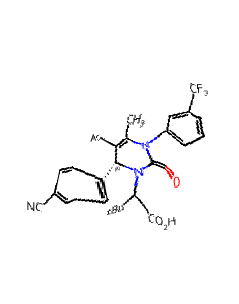 CC(=O)C1=C(C)N(c2cccc(C(F)(F)F)c2)C(=O)N(C(C(=O)O)C(C)(C)C)[C@@H]1c1ccc(C#N)cc1